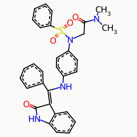 CN(C)C(=O)CN(c1ccc(NC(=C2C(=O)Nc3ccccc32)c2ccccc2)cc1)S(=O)(=O)c1ccccc1